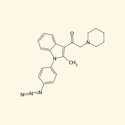 Cc1c(C(=O)CN2CCCCC2)c2ccccc2n1-c1ccc(N=[N+]=[N-])cc1